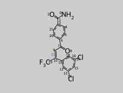 NC(=O)c1ccc(C(=O)/C=C(\c2cc(Cl)cc(Cl)c2)C(F)(F)F)cc1